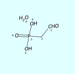 O.O=CCP(=O)(O)O